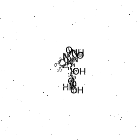 Cc1cc2nc3c(=O)[nH]c(=O)nc-3n(CCC(O)CCOOPO)c2cc1C